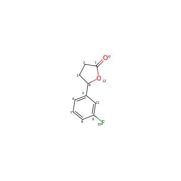 O=C1CCC(c2cccc(F)c2)O1